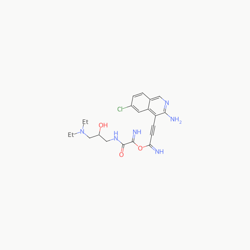 CCN(CC)CC(O)CNC(=O)C(=N)OC(=N)C#Cc1c(N)ncc2ccc(Cl)cc12